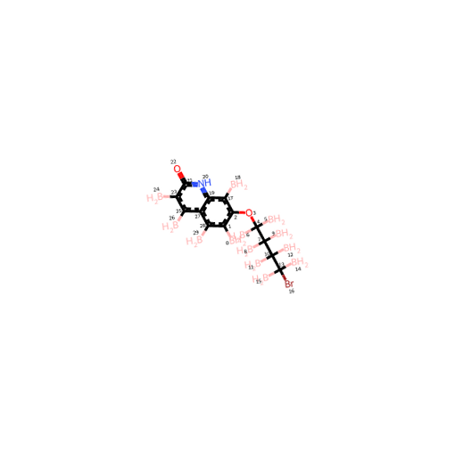 Bc1c(OC(B)(B)C(B)(B)C(B)(B)C(B)(B)Br)c(B)c2[nH]c(=O)c(B)c(B)c2c1B